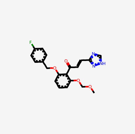 COCOc1cccc(OCc2ccc(F)cc2)c1C(=O)C=Cc1nc[nH]n1